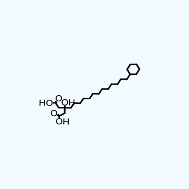 O=C(O)CC(O)(CCCCCCCCCCCCCC1CCCCC1)CC(=O)O